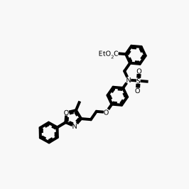 CCOC(=O)c1ccccc1CN(c1ccc(OCCc2nc(-c3ccccc3)oc2C)cc1)S(C)(=O)=O